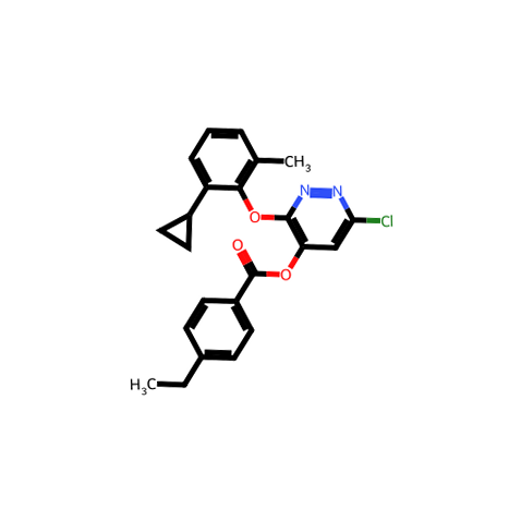 CCc1ccc(C(=O)Oc2cc(Cl)nnc2Oc2c(C)cccc2C2CC2)cc1